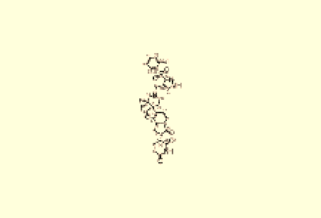 O=C1CC[C@H](N2Cc3c(ccc4c3OCC43CCN(Cc4c[nH]nc4S(=O)(=O)c4ccccc4Cl)CC3(F)F)C2=O)C(=O)N1